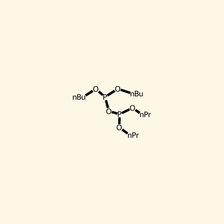 CCCCOP(OCCCC)OP(OCCC)OCCC